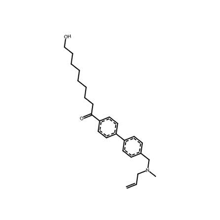 C=CCN(C)Cc1ccc(-c2ccc(C(=O)CCCCCCCCO)cc2)cc1